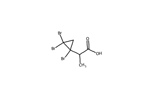 CC(C(=O)O)C1(Br)CC1(Br)Br